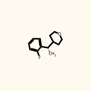 C[C@H](c1ccccc1F)C1CCOCC1